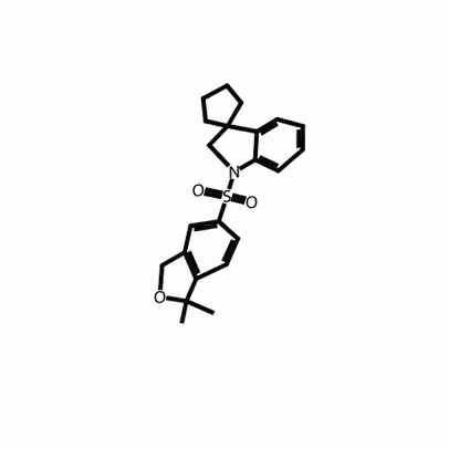 CC1(C)OCc2cc(S(=O)(=O)N3CC4(CCCC4)c4ccccc43)ccc21